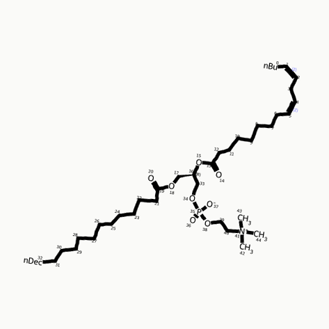 CCCC/C=C\C/C=C\CCCCCCCC(=O)O[C@H](COC(=O)CCCCCCCCCCCCCCCCCCCCC)COP(=O)([O-])OCC[N+](C)(C)C